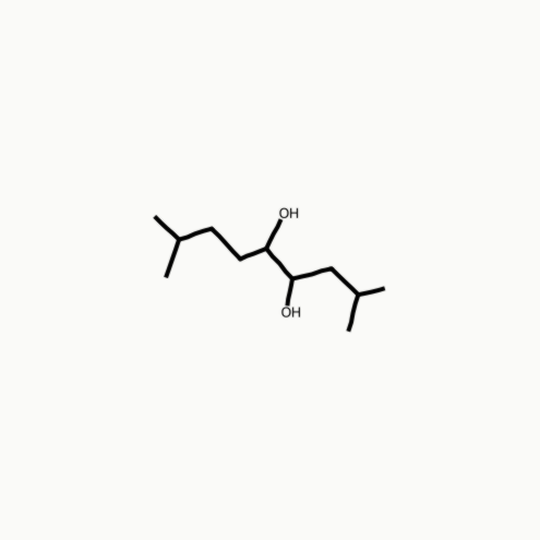 CC(C)CCC(O)C(O)CC(C)C